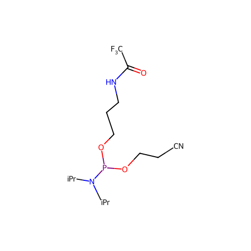 CC(C)N(C(C)C)P(OCCC#N)OCCCNC(=O)C(F)(F)F